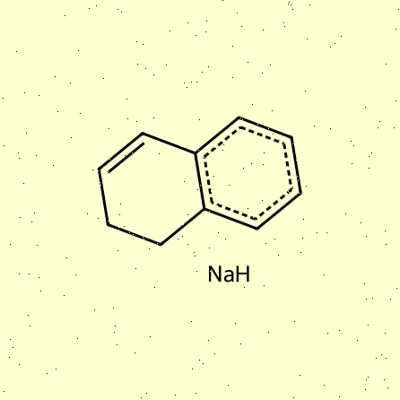 C1=Cc2ccccc2CC1.[NaH]